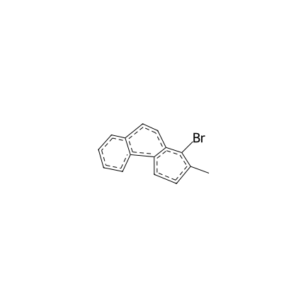 Cc1ccc2c(ccc3ccccc32)c1Br